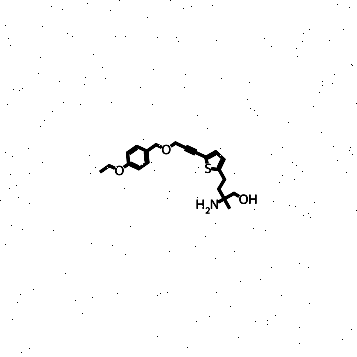 CCOc1ccc(COCC#Cc2ccc(CCC(C)(N)CO)s2)cc1